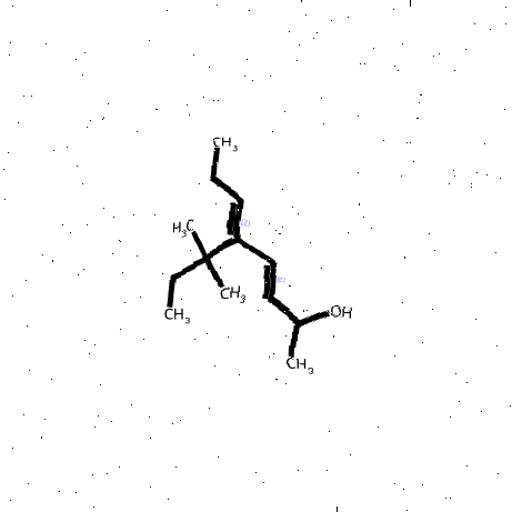 CC/C=C(/C=C/C(C)O)C(C)(C)CC